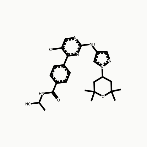 CC(C#N)NC(=O)c1ccc(-c2nc(Nc3cnn(C4CC(C)(C)OC(C)(C)C4)c3)ncc2Cl)cc1